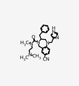 CN(C)CCN(C)C(=O)N1Cc2cc(C#N)ccc2N(Cc2c[nH]cn2)CC1Cc1ccccc1